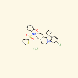 Cl.O=S(=O)(Nc1ccccc1Oc1ccc2c(c1)C(C1(c3ccc(Cl)cc3)CCC1)NCC2)c1cccs1